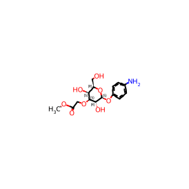 COC(=O)CO[C@H]1[C@@H](O)[C@@H](CO)O[C@@H](Oc2ccc(N)cc2)[C@@H]1O